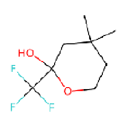 CC1(C)CCOC(O)(C(F)(F)F)C1